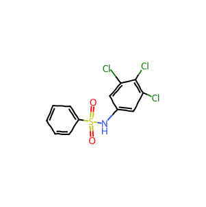 O=S(=O)(Nc1cc(Cl)c(Cl)c(Cl)c1)c1ccccc1